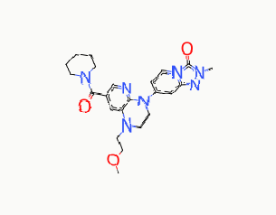 COCCN1CCN(c2ccn3c(=O)n(C)nc3c2)c2ncc(C(=O)N3CCCCC3)cc21